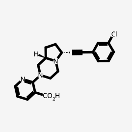 O=C(O)c1cccnc1N1CCN2[C@@H](CC[C@@H]2C#Cc2cccc(Cl)c2)C1